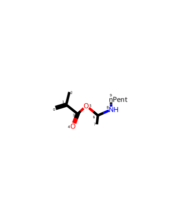 C=C(C)C(=O)OC(C)NCCCCC